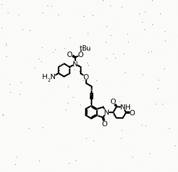 CC(C)(C)OC(=O)N(CCOCCC#Cc1cccc2c1CN(C1CCC(=O)NC1=O)C2=O)C1CCC(N)CC1